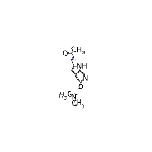 CC(=O)/C=C/c1cc2cc(OCCN(C)C)ncc2[nH]1